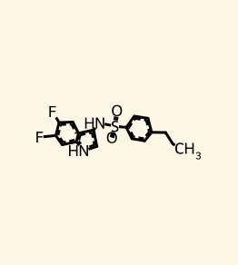 CCCc1ccc(S(=O)(=O)Nc2c[nH]c3cc(F)c(F)cc23)cc1